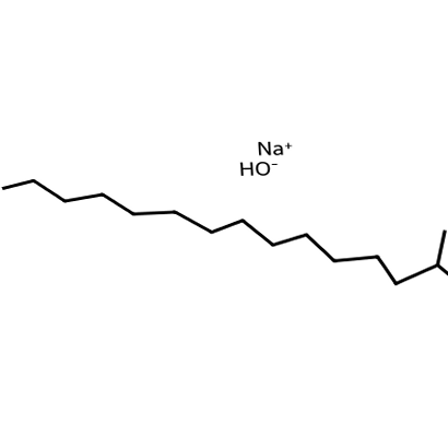 CCCCCCCCCCCCCC(C)C.[Na+].[OH-]